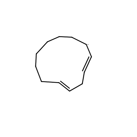 [CH]1/C=C/C/C=C/CCCCCC1